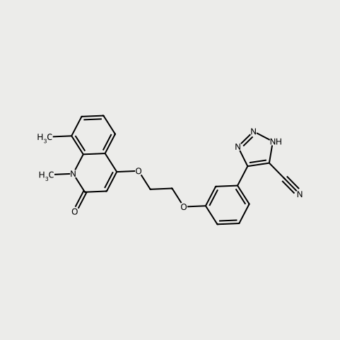 Cc1cccc2c(OCCOc3cccc(-c4nn[nH]c4C#N)c3)cc(=O)n(C)c12